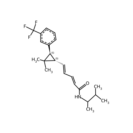 CC(C)C(C)NC(=O)C=CC=C[C@H]1[C@H](c2cccc(C(F)(F)F)c2)C1(C)C